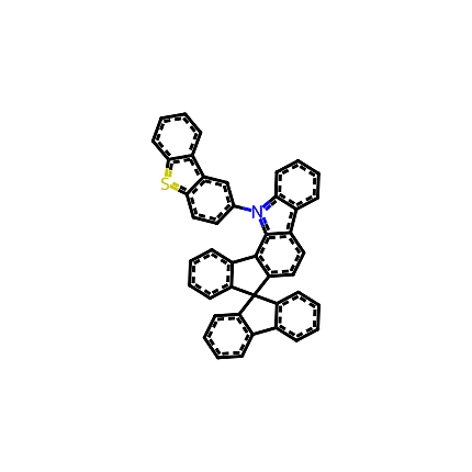 c1ccc2c(c1)-c1ccccc1C21c2ccccc2-c2c1ccc1c3ccccc3n(-c3ccc4sc5ccccc5c4c3)c21